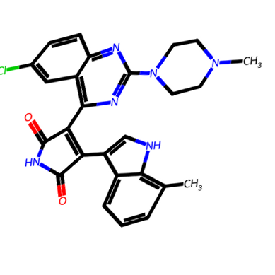 Cc1cccc2c(C3=C(c4nc(N5CCN(C)CC5)nc5ccc(Cl)cc45)C(=O)NC3=O)c[nH]c12